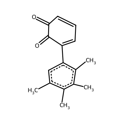 Cc1cc(C2=CC=CC(=O)C2=O)c(C)c(C)c1C